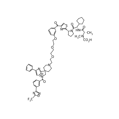 C[C@@H](C(=O)N[C@H](C(=O)N1CCC[C@H]1c1nc(C(=O)c2cccc(OCCOCCOCCN3CCC(CNC(=O)c4cccc(-c5noc(C(F)(F)F)n5)c4)(c4nc(-c5ccccc5)cs4)CC3)c2)cs1)C1CCCCC1)N(C)C(=O)O